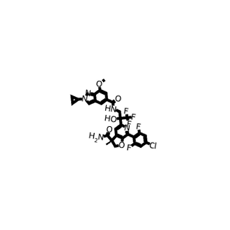 COc1cc(C(=O)NCC(O)(c2cc3c(c(-c4c(F)cc(Cl)cc4F)n2)OC[C@]3(C)C(N)=O)C(F)(F)F)cc2cn(C3CC3)nc12